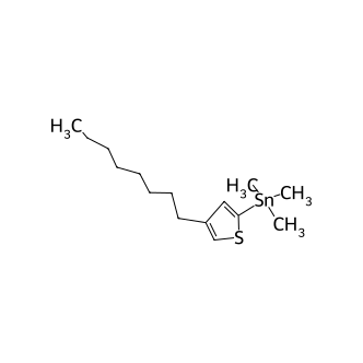 CCCCCCCCc1cs[c]([Sn]([CH3])([CH3])[CH3])c1